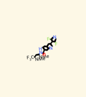 CN/C(=C\C(NC)C(F)(F)F)NC(=O)c1ccc2cc(-c3c(F)cncc3F)cnc2c1